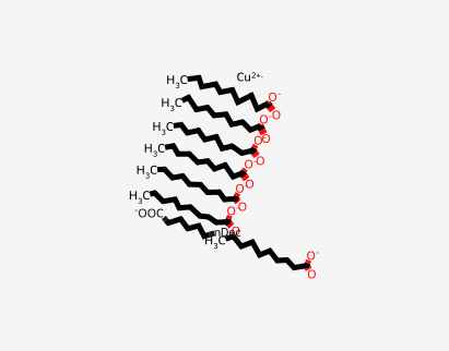 CCCCCCCCCC(=O)[O-].CCCCCCCCCC(=O)[O-].CCCCCCCCCC(=O)[O-].CCCCCCCCCC(=O)[O-].CCCCCCCCCC(=O)[O-].CCCCCCCCCC(=O)[O-].CCCCCCCCCC(=O)[O-].CCCCCCCCCCCCCCCC(=O)[O-].[Cu+2]